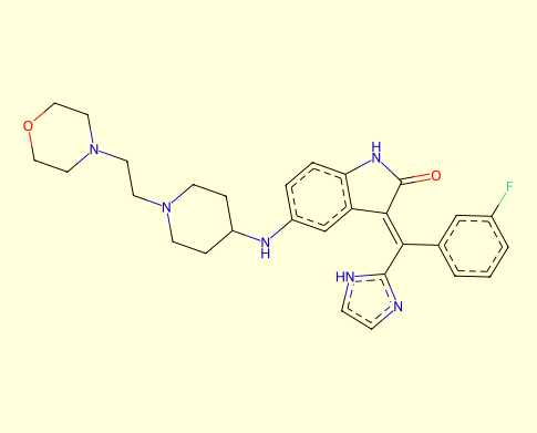 O=C1Nc2ccc(NC3CCN(CCN4CCOCC4)CC3)cc2C1=C(c1cccc(F)c1)c1ncc[nH]1